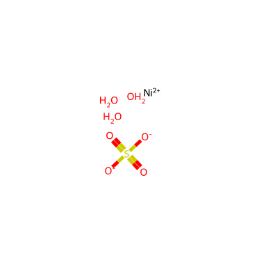 O.O.O.O=S(=O)([O-])[O-].[Ni+2]